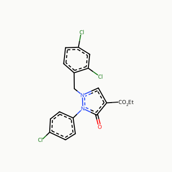 CCOC(=O)c1cn(Cc2ccc(Cl)cc2Cl)n(-c2ccc(Cl)cc2)c1=O